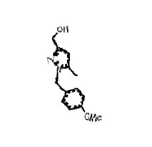 COc1ccc(Cn2nc(CO)cc2C)cc1